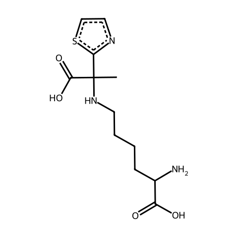 CC(NCCCCC(N)C(=O)O)(C(=O)O)c1nccs1